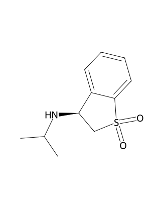 CC(C)N[C@@H]1CS(=O)(=O)c2ccccc21